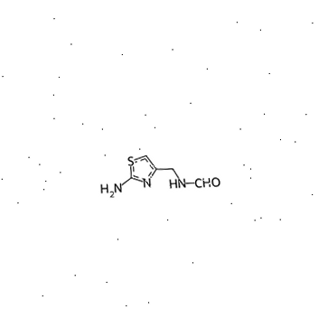 Nc1nc(CNC=O)cs1